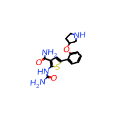 NC(=O)Nc1sc(-c2ccccc2OC2CCNC2)cc1C(N)=O